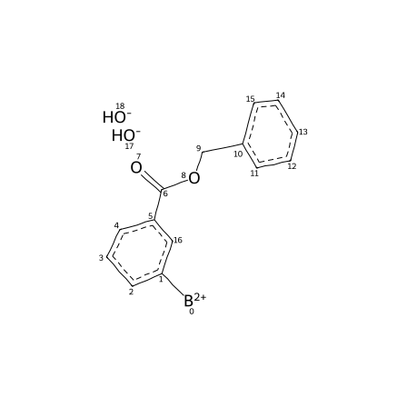 [B+2]c1cccc(C(=O)OCc2ccccc2)c1.[OH-].[OH-]